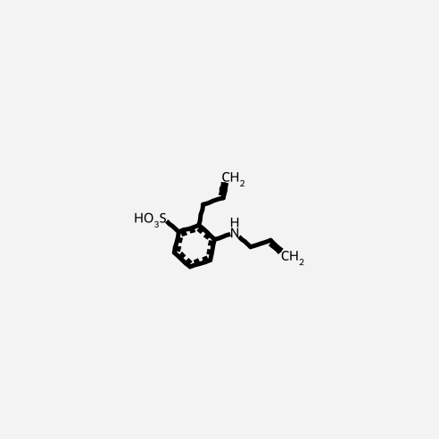 C=CCNc1cccc(S(=O)(=O)O)c1CC=C